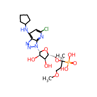 COCC[C@@](C)(OC[C@H]1O[C@@H](n2nnc3c(NC4CCCC4)cc(Cl)nc32)[C@H](O)[C@@H]1O)P(=O)(O)O